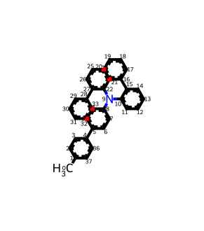 Cc1ccc(-c2ccc(N(c3ccccc3-c3ccccc3)c3ccccc3-c3ccccc3)cc2)cc1